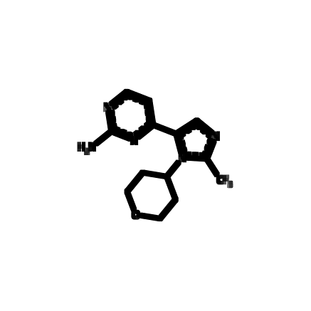 Nc1nccc(-c2cnc(C(F)(F)F)n2C2CCOCC2)n1